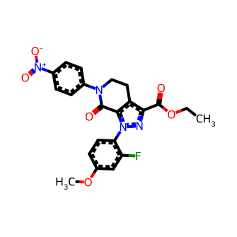 CCOC(=O)c1nn(-c2ccc(OC)cc2F)c2c1CCN(c1ccc([N+](=O)[O-])cc1)C2=O